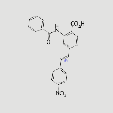 O=C(Nc1cc(/C=C/c2ccc([N+](=O)[O-])cc2)ccc1C(=O)O)c1ccccc1